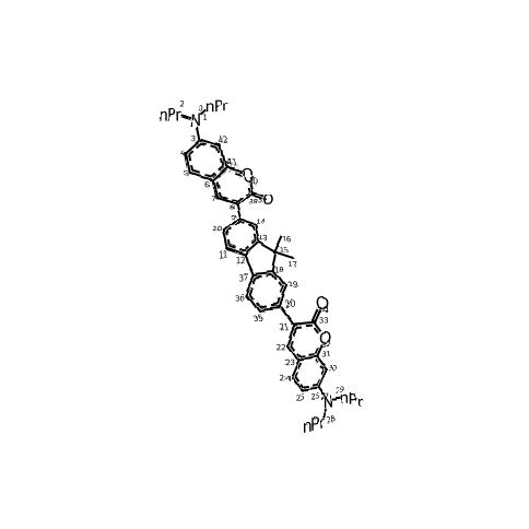 CCCN(CCC)c1ccc2cc(-c3ccc4c(c3)C(C)(C)c3cc(-c5cc6ccc(N(CCC)CCC)cc6oc5=O)ccc3-4)c(=O)oc2c1